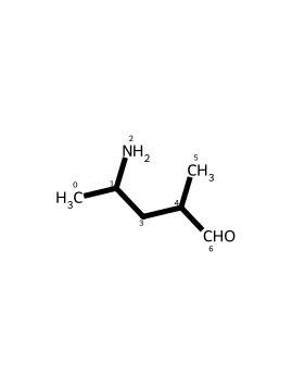 CC(N)CC(C)C=O